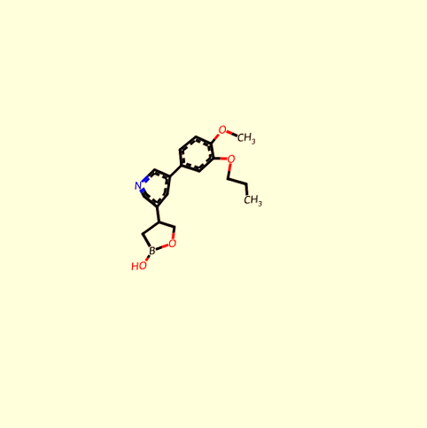 CCCOc1cc(-c2cncc(C3COB(O)C3)c2)ccc1OC